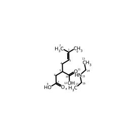 CC(C)=CCC(CC(=O)O)C(=O)O.CCNCC